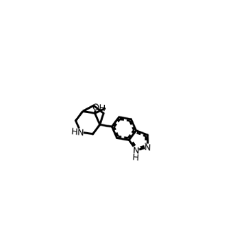 CC1(O)C2CCC1(c1ccc3cn[nH]c3c1)CNC2